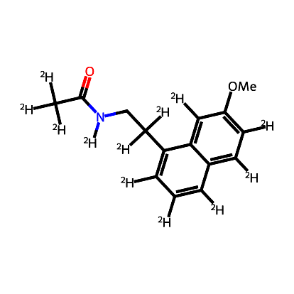 [2H]c1c([2H])c(C([2H])([2H])CN([2H])C(=O)C([2H])([2H])[2H])c2c([2H])c(OC)c([2H])c([2H])c2c1[2H]